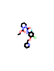 CCOC(=O)N1CCCCN1C(=O)Nc1cc(OCc2ccccn2)c(Cl)cc1F